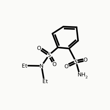 CCN(CC)S(=O)(=O)c1ccccc1S(N)(=O)=O